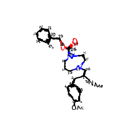 CNC(Cc1ccc(OC(C)=O)cc1)CN1CCCN(C(=O)OCc2ccccc2)CC1